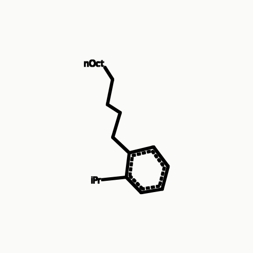 CCCCCCCCCCCCc1ccccc1C(C)C